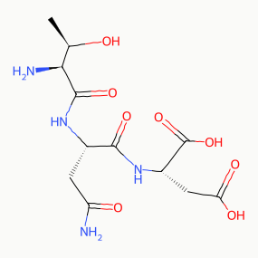 C[C@@H](O)[C@H](N)C(=O)N[C@@H](CC(N)=O)C(=O)N[C@@H](CC(=O)O)C(=O)O